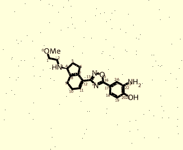 COCCN[C@H]1CCC2=C1CCC=C2c1noc(-c2ccc(O)c(N)c2)n1